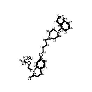 CC(C)(C)[Si](C)(C)OCN1C(=O)CCc2ccc(OCCCCN3CCN(c4cccc5sccc45)CC3)cc21